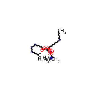 CCCCC/C=C\C/C=C\C/C=C\CCCCC(=O)OC[C@H](COP(=O)([O-])OCC[N+](C)(C)C)OC(=O)CCCCCCC/C=C\CCCCCC